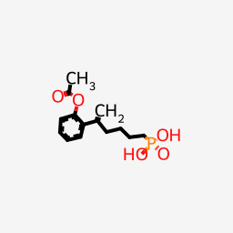 C=C(CCCCP(=O)(O)O)c1ccccc1OC(C)=O